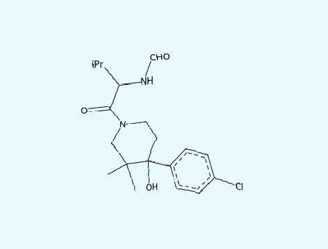 CC(C)C(NC=O)C(=O)N1CCC(O)(c2ccc(Cl)cc2)C(C)(C)C1